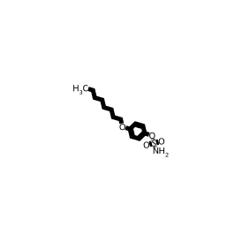 CCCCCCCCOc1ccc(OS(N)(=O)=O)cc1